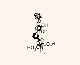 N[C@@](CC(=O)O)(OC(=O)c1ccc[n+]([C@@H]2O[C@H](CO[PH](=O)OO)[C@@H](O)[C@H]2O)c1)C(=O)O